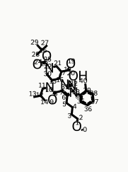 COCCCCc1c(C(=O)N(CC(C)C)C2CC(C(=O)O)CN(C(=O)OC(C)(C)C)C2)nnn1-c1ccccc1C